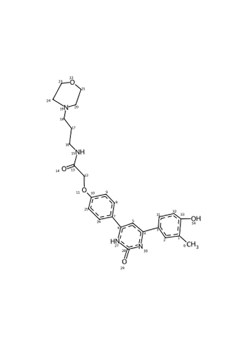 Cc1cc(-c2cc(-c3ccc(OCC(=O)NCCCN4CCOCC4)cc3)[nH]c(=O)n2)ccc1O